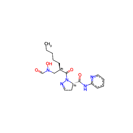 CCCCC[C@H](CN(O)C=O)C(=O)N1N=CC[C@H]1C(=O)Nc1ccccn1